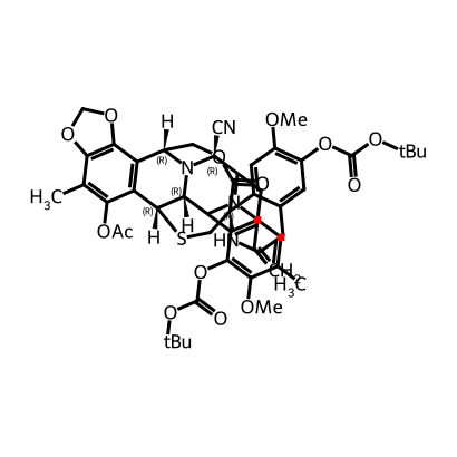 C=CCN1C2c3c(cc(C)c(OC)c3OC(=O)OC(C)(C)C)CC1[C@H](C#N)N1[C@H]2[C@@H]2SC[C@]3(NCCc4cc(OC(=O)OC(C)(C)C)c(OC)cc43)C(=O)OC[C@H]1c1c3c(c(C)c(OC(C)=O)c12)OCO3